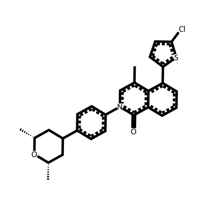 Cc1cn(-c2ccc(C3C[C@@H](C)O[C@@H](C)C3)cc2)c(=O)c2cccc(-c3ccc(Cl)s3)c12